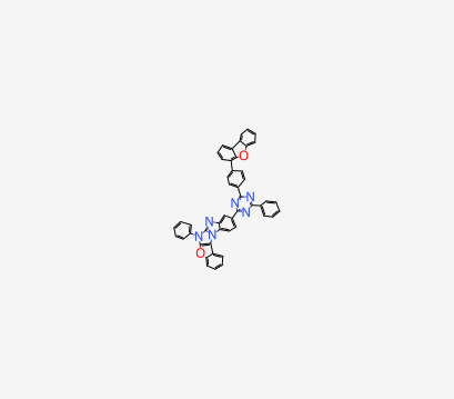 c1ccc(-c2nc(-c3ccc(-c4cccc5c4oc4ccccc45)cc3)nc(-c3ccc4c(c3)nc3n(-c5ccccc5)c5oc6ccccc6c5n43)n2)cc1